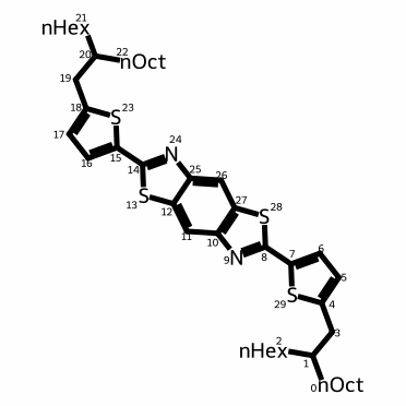 CCCCCCCCC(CCCCCC)Cc1ccc(-c2nc3cc4sc(-c5ccc(CC(CCCCCC)CCCCCCCC)s5)nc4cc3s2)s1